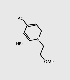 Br.COCCN1C=CC(C(C)=O)=CC1